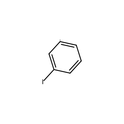 Ic1c[c]ccc1